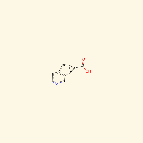 O=C(O)c1c2cc3ccncc3c1-2